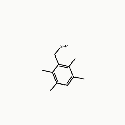 Cc1cc(C)c(C)c(C[SeH])c1C